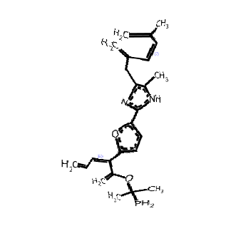 C=C/C=C(\C(=C)OC(C)(C)P)c1ccc(-c2nc(CC(=C)/C=C\C(=C)C)c(C)[nH]2)o1